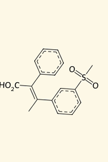 CC(=C(C(=O)O)c1ccccc1)c1cccc(S(C)(=O)=O)c1